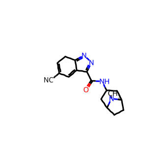 CN1C2CCC1CC(NC(=O)C1=NN=C3CC=C(C#N)C=C31)C2